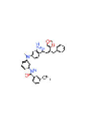 CN(c1cccc(NC(=O)c2cccc(C(F)(F)F)c2)c1)c1ccc2c(C=C(Cc3ccccc3)C3=COCO3)n[nH]c2c1